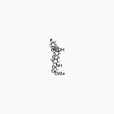 COC(=O)CC(=O)Nc1cc(C)c(Oc2ccc(O)c(S(=O)(=O)c3ccc(F)cc3)c2)c(C)c1